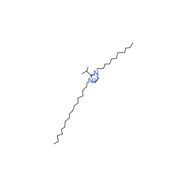 CCCCCCCCCCCCCCCCC[n+]1ccn(CCCCCCCCCCC)c1C(C)C